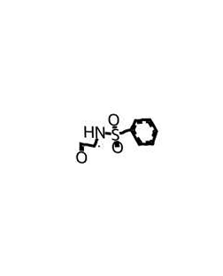 O=C[CH]NS(=O)(=O)c1ccccc1